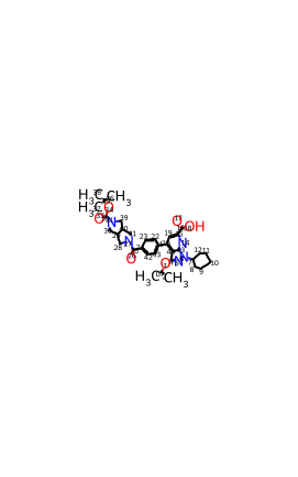 CC(C)Oc1nn(C2CCCCC2)c2nc(C(=O)O)cc(-c3ccc(C(=O)N4CC5CN(C(=O)OC(C)(C)C)CC5C4)cc3)c12